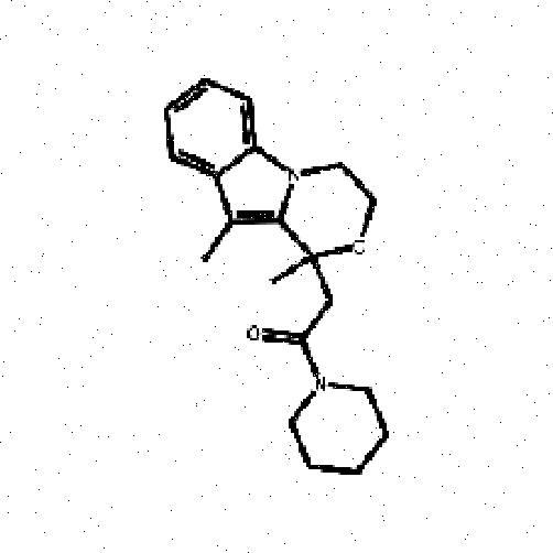 Cc1c2n(c3ccccc13)CCOC2(C)CC(=O)N1CCCCC1